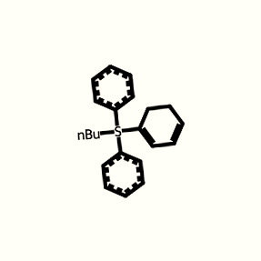 CCCCS(C1=CC=CCC1)(c1ccccc1)c1ccccc1